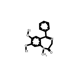 CCOc1cc2c(cc1OCC)N(C)C(=O)CN=C2c1ccccc1